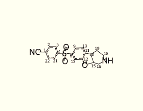 N#Cc1ccc(S(=O)(=O)c2ccc3c(c2)OC2CNCCC32)cc1